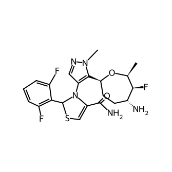 C[C@@H]1O[C@H](c2c(N3C(C(N)=O)=CSC3c3c(F)cccc3F)cnn2C)CC[C@@H](N)[C@@H]1F